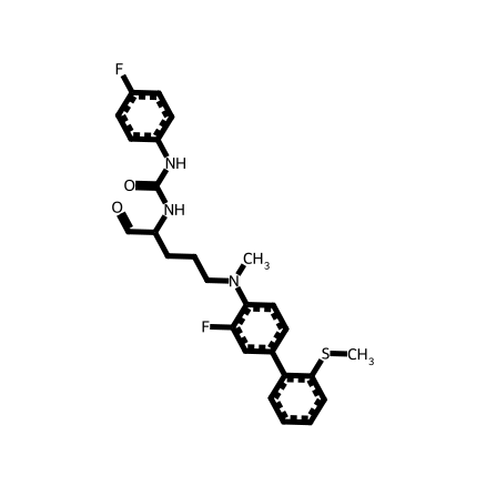 CSc1ccccc1-c1ccc(N(C)CCCC(C=O)NC(=O)Nc2ccc(F)cc2)c(F)c1